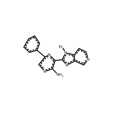 CCn1c(-c2nc(-c3ccccc3)cnc2N)nc2cnccc21